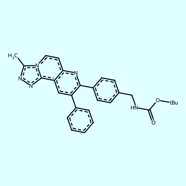 Cc1nnc2c3cc(-c4ccccc4)c(-c4ccc(CNC(=O)OC(C)(C)C)cc4)nc3ccn12